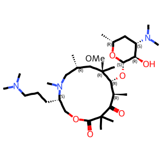 CO[C@]1(C)C[C@@H](C)CN(C)[C@@H](CCCN(C)C)COC(=O)C(C)(C)C(=O)[C@H](C)[C@H]1O[C@@H]1O[C@H](C)C[C@H](N(C)C)[C@H]1O